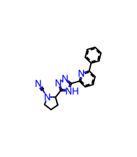 N#CN1CCCC1c1nnc(-c2cccc(-c3ccccc3)n2)[nH]1